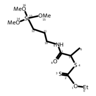 CCOC(=S)SC(C)C(=O)NCCC[Si](OC)(OC)OC